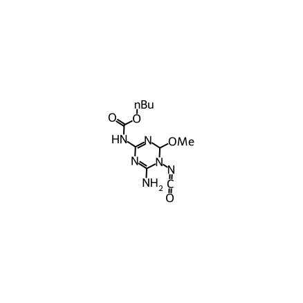 CCCCOC(=O)NC1=NC(OC)N(N=C=O)C(N)=N1